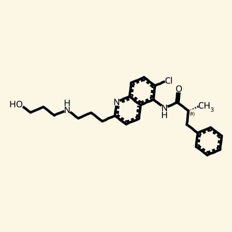 C[C@H](Cc1ccccc1)C(=O)Nc1c(Cl)ccc2nc(CCCNCCCO)ccc12